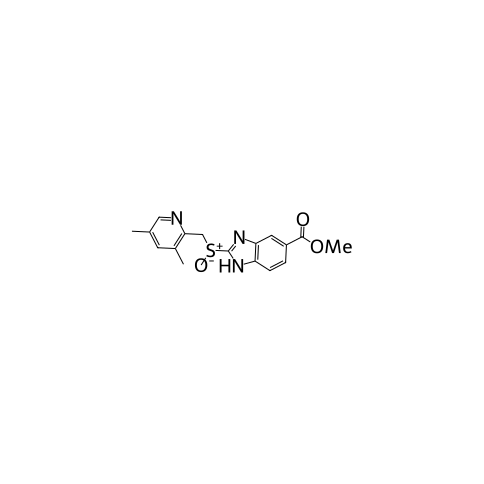 COC(=O)c1ccc2[nH]c([S+]([O-])Cc3ncc(C)cc3C)nc2c1